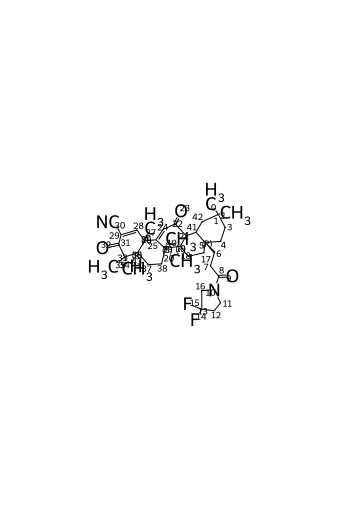 CC1(C)CC[C@]2(CCC(=O)N3CCC(F)(F)C3)CC[C@]3(C)C(C(=O)C=C4[C@@]5(C)C=C(C#N)C(=O)C(C)(C)[C@@H]5CC[C@]43C)C2C1